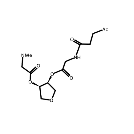 CNCC(=O)O[C@@H]1COC[C@@H]1OC(=O)CNC(=O)CCC(C)=O